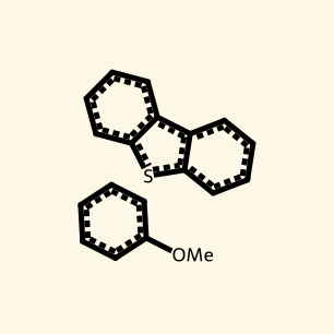 COc1ccccc1.c1ccc2c(c1)sc1ccccc12